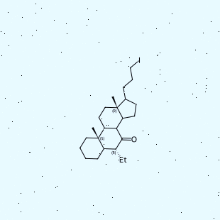 CC[C@H]1C(=O)C2C3CCC(CCCI)[C@@]3(C)CCC2[C@@]2(C)CCCCC12